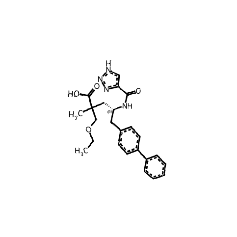 CCOCC(C)(C[C@@H](Cc1ccc(-c2ccccc2)cc1)NC(=O)c1c[nH]nn1)C(=O)O